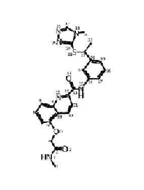 CNC(=O)COc1cccc2nc(C(=O)Nc3cccc([C@H](C)Sc4nncn4C)c3)ccc12